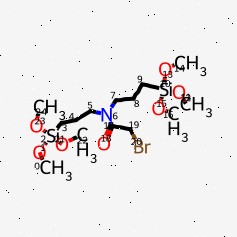 CO[Si](CCCN(CCC[Si](OC)(OC)OC)C(=O)CBr)(OC)OC